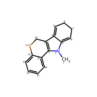 Cn1c2c(c3c1=CCCC=3)CSc1ccccc1-2